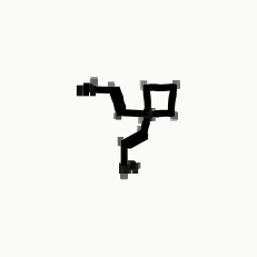 CCCC=C[Si]1(C=CCCC)CCC1